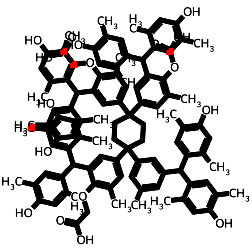 Cc1cc(C(c2cc(C)c(O)cc2C)c2cc(C)c(O)cc2C)cc(C2(c3cc(C)c(OCC(=O)O)c(C(c4cc(C)c(O)cc4C)c4cc(C)c(O)cc4C)c3)CCC(c3cc(C)c(OCC(=O)O)c(C(c4cc(C)c(O)cc4C)c4cc(C)c(O)cc4C)c3)(c3cc(C)c(OC(=O)O)c(C(c4cc(C)c(O)cc4C)c4cc(C)c(O)cc4C)c3)CC2)c1